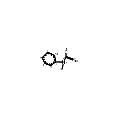 CN(C(=S)Cl)c1ccccc1